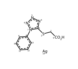 O=C(O)CSc1nnnn1-c1ccccc1.[Ag]